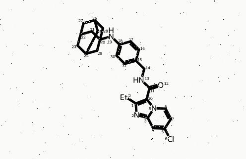 CCc1nc2cc(Cl)ccn2c1C(=O)NCc1ccc(NC23CC4CC(CC(C4)C2)C3)cc1